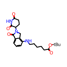 CC(C)(C)OC(=O)CCCCCNc1cccc2c1CN(C1CCC(=O)NC1=O)C2=O